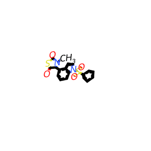 CN1C(=O)SC(=O)C1c1cccc2c1ccn2S(=O)(=O)c1ccccc1